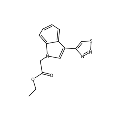 CCOC(=O)Cn1cc(-c2csnn2)c2ccccc21